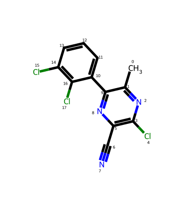 Cc1nc(Cl)c(C#N)nc1-c1cccc(Cl)c1Cl